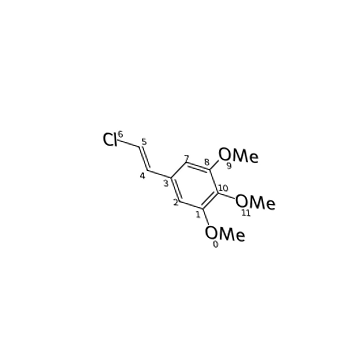 COc1cc(C=CCl)cc(OC)c1OC